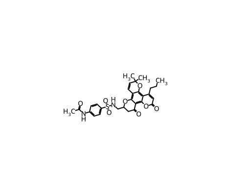 CCCc1cc(=O)oc2c3c(c4c(c12)OC(C)(C)C=C4)OC(CNS(=O)(=O)c1ccc(NC(C)=O)cc1)CC3=O